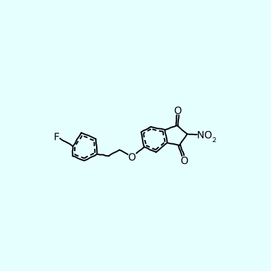 O=C1c2ccc(OCCc3ccc(F)cc3)cc2C(=O)C1[N+](=O)[O-]